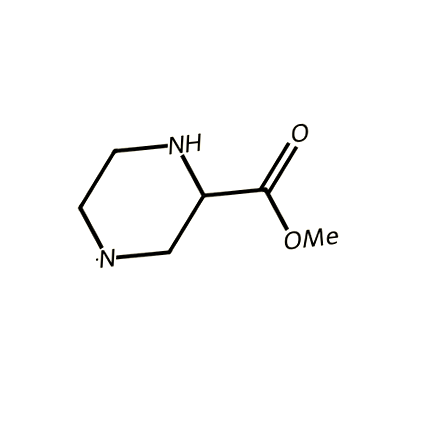 COC(=O)C1C[N]CCN1